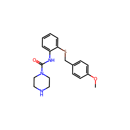 COc1ccc(CSc2ccccc2NC(=O)N2CCNCC2)cc1